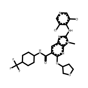 Cn1c(Nc2c(Cl)cncc2Cl)nc2cc(C(=O)NC3CCC(C(F)(F)F)CC3)c(OC3CCOC3)nc21